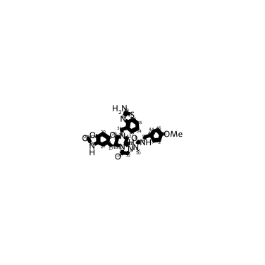 COc1ccc(CNC(=O)N(C)N2CC(=O)N3[C@@H](Cc4ccc5oc(=O)[nH]c5c4)C(=O)N(Cc4cccc5sc(N)nc45)C[C@@H]32)cc1